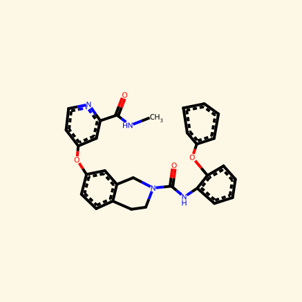 CNC(=O)c1cc(Oc2ccc3c(c2)CN(C(=O)Nc2ccccc2Oc2ccccc2)CC3)ccn1